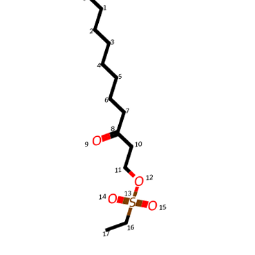 CCCCCCCCC(=O)CCOS(=O)(=O)CC